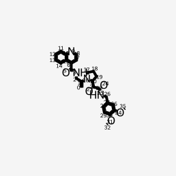 C=C(CNC(=O)c1ccnc2ccccc12)N1CCCC1C(=O)C(=O)NCc1ccc(OC)c(OC)c1